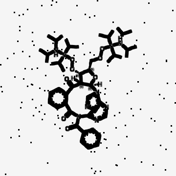 CC(C)[SiH](C(C)C)[Si](OOC[C@H]1O[C@@H]2[C@H](C(=O)c3ccccc3C(=O)N(C(=O)c3ccccc3)c3ncnc4c3ncn42)[C@@H]1OO[Si](C(C)C)(C(C)C)[SiH](C(C)C)C(C)C)(C(C)C)C(C)C